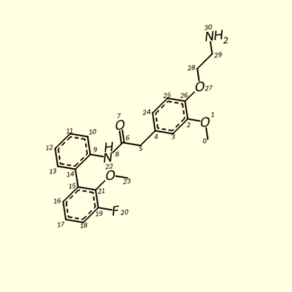 COc1cc(CC(=O)Nc2ccccc2-c2cccc(F)c2OC)ccc1OCCN